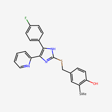 CSc1cc(CSc2nc(-c3ccccn3)c(-c3ccc(F)cc3)[nH]2)ccc1O